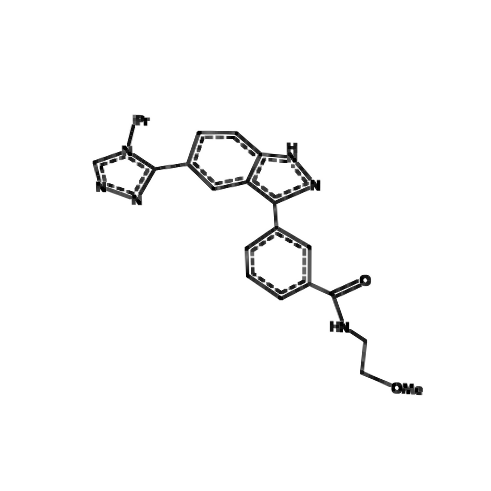 COCCNC(=O)c1cccc(-c2n[nH]c3ccc(-c4nncn4C(C)C)cc23)c1